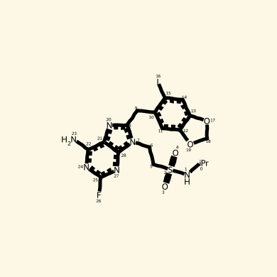 CC(C)NS(=O)(=O)CCn1c(Cc2cc3c(cc2I)OCO3)nc2c(N)nc(F)nc21